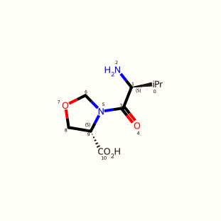 CC(C)[C@H](N)C(=O)N1COC[C@H]1C(=O)O